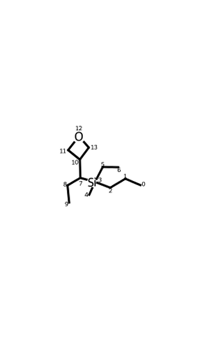 CCC[Si](C)(CC)C(CC)C1COC1